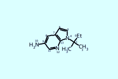 CCC(C)(C)n1ccc2cc(N)cnc21